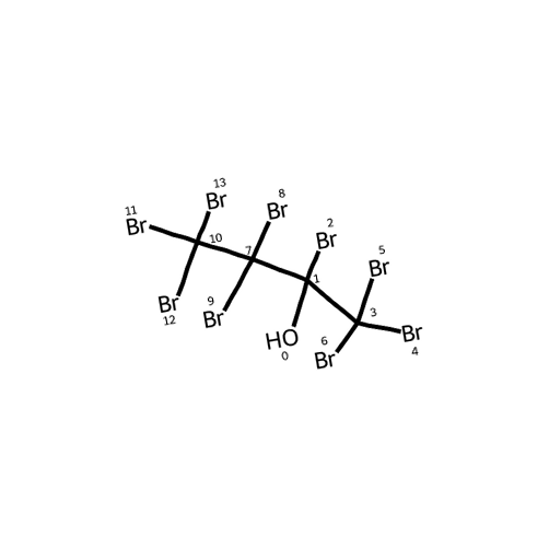 OC(Br)(C(Br)(Br)Br)C(Br)(Br)C(Br)(Br)Br